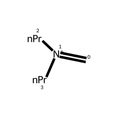 C=[N+](CCC)CCC